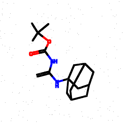 C=C(NC(=O)OC(C)(C)C)NC12CC3CC(CC(C3)C1)C2